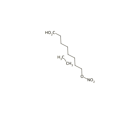 CC.O=C(O)CCCCCCCO[N+](=O)[O-]